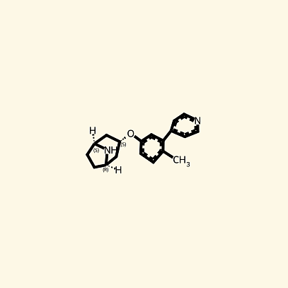 Cc1ccc(O[C@@H]2C[C@H]3CC[C@@H](C2)N3)cc1-c1ccncc1